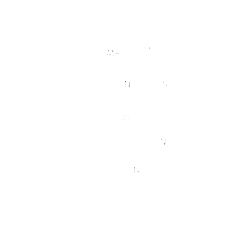 COC(c1ccccc1)N1C(=O)SC([C@@H]2CCCN2c2ccc3ccccc3n2)C1=O